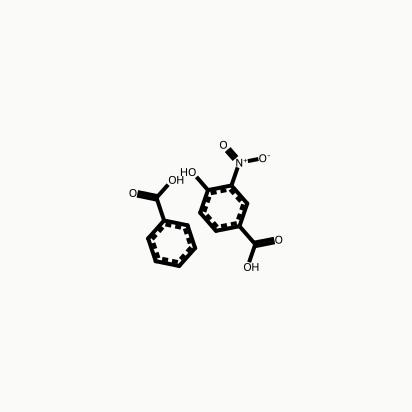 O=C(O)c1ccc(O)c([N+](=O)[O-])c1.O=C(O)c1ccccc1